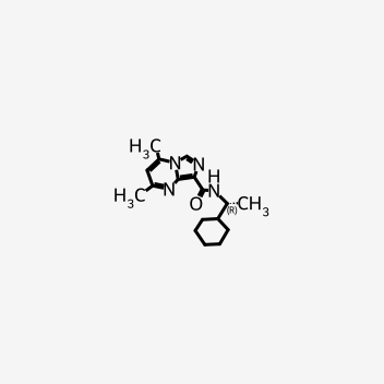 Cc1cc(C)n2cnc(C(=O)N[C@H](C)C3CCCCC3)c2n1